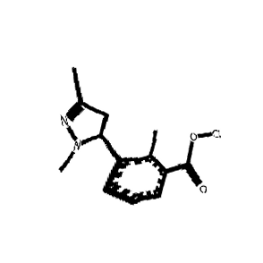 CC1=NN(C)C(c2cccc(C(=O)OCl)c2C)C1